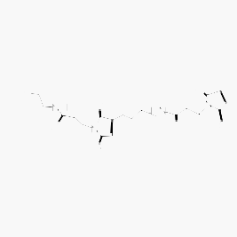 CCCNC(=O)CCN1C(=O)C=C(CCCCNC(=O)CCN2C(=O)C=CC2=O)C1=O